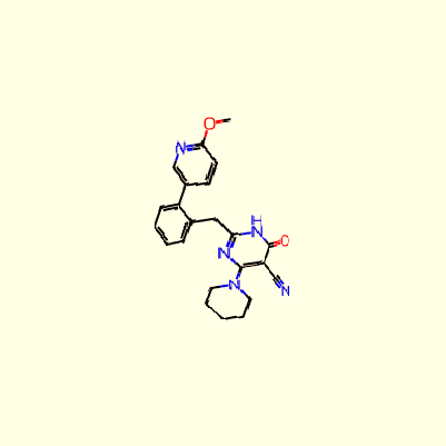 COc1ccc(-c2ccccc2Cc2nc(N3CCCCC3)c(C#N)c(=O)[nH]2)cn1